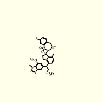 CCOC(=O)CC(c1cc(OC)c2c(c1)nnn2C)c1ccc(C)c2c1CC[C@H]2N1C[C@@H](C)Cc2ccc(F)cc2S1(=O)=O